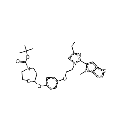 CCc1cn(CCOc2ccc(OC3CCCN(C(=O)OC(C)(C)C)CC3)cc2)c(-c2cc3sccc3n2C)n1